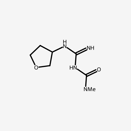 CNC(=O)NC(=N)NC1CCOC1